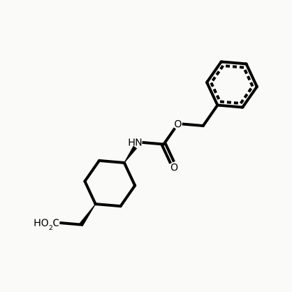 O=C(O)C[C@H]1CC[C@@H](NC(=O)OCc2ccccc2)CC1